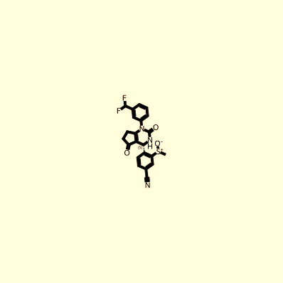 C[S+]([O-])c1cc(C#N)ccc1[C@H]1NC(=O)N(c2cccc(C(F)F)c2)C2=C1C(=O)CC2